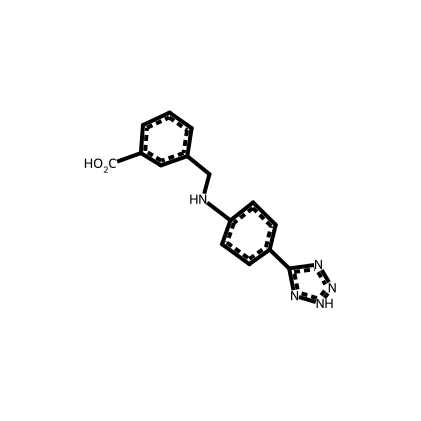 O=C(O)c1cccc(CNc2ccc(-c3nn[nH]n3)cc2)c1